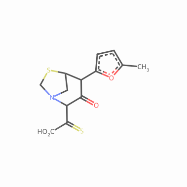 Cc1ccc(C2C(=O)C(C(=S)C(=O)O)N3CSC2C3)o1